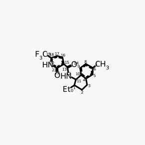 CCC1CCc2cc(C)ccc2C1NC(=O)c1ccc(C(F)(F)F)[nH]c1=O